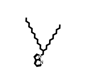 CCCCCCCCCCCCC(CCCCCCCCCC)Cn1ccc2cccnc21